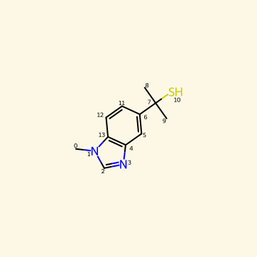 Cn1cnc2cc(C(C)(C)S)ccc21